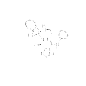 NCCc1ccccc1NC(=O)c1[nH]cnc1C(=O)Nc1nc2ccccc2[nH]1